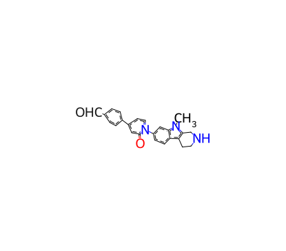 Cn1c2c(c3ccc(-n4ccc(-c5ccc(C=O)cc5)cc4=O)cc31)CCNC2